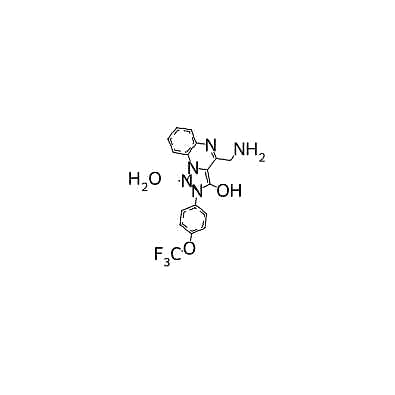 NCC1=Nc2ccccc2N2[N]N(c3ccc(OC(F)(F)F)cc3)C(O)=C12.O